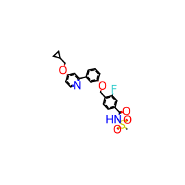 CS(=O)(=O)NC(=O)c1ccc(COc2cccc(-c3cc(OCC4CC4)ccn3)c2)c(F)c1